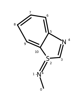 C[N+]=S1C=Nc2ccccc21